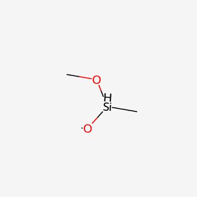 CO[SiH](C)[O]